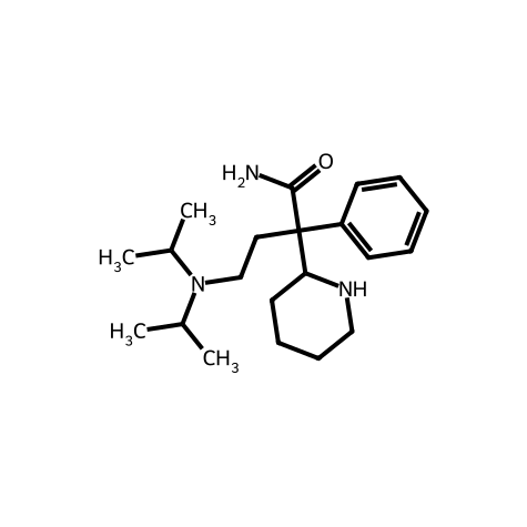 CC(C)N(CCC(C(N)=O)(c1ccccc1)C1CCCCN1)C(C)C